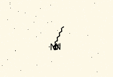 CCCCCCCCC1=[N+]C=CN1C